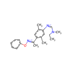 CCN(C)/C=N\c1cc(C)c(/C(C)=N/Oc2ccccc2)cc1C